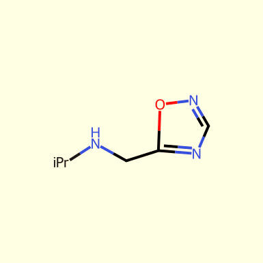 CC(C)NCc1ncno1